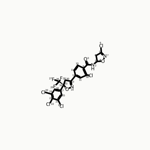 O=C(NC1CC(Cl)=NO1)c1ccc(C2=NO[C@@](c3cc(Cl)c(Cl)c(Cl)c3)(C(F)(F)F)C2)cc1Cl